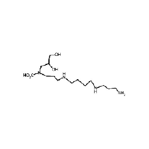 NCCCNCCCCNCCCN(CC(O)CO)C(=O)O